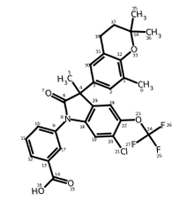 Cc1cc(C2(C)C(=O)N(c3cccc(C(=O)O)c3)c3cc(Cl)c(OC(F)(F)F)cc32)cc2c1OC(C)(C)CC2